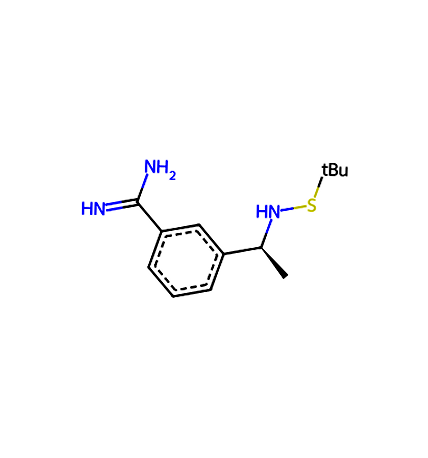 C[C@H](NSC(C)(C)C)c1cccc(C(=N)N)c1